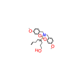 C=CCC[C@H](CCCO)S(=O)(=O)N(Cc1ccc(OC)cc1)Cc1ccc(OC)cc1